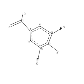 C=C(C)c1cc(F)c(C)c(F)c1